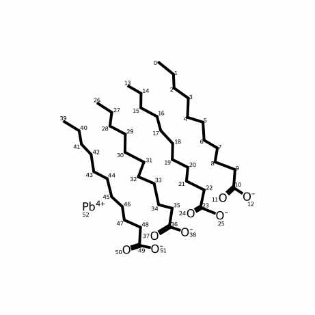 CCCCCCCCCCC(=O)[O-].CCCCCCCCCCC(=O)[O-].CCCCCCCCCCC(=O)[O-].CCCCCCCCCCC(=O)[O-].[Pb+4]